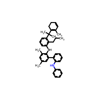 CCCc1c(Bc2c(C)cc(C)cc2-c2ccccc2Nc2ccccc2)cccc1C(C)(C)C1=C(C)C=CCC1